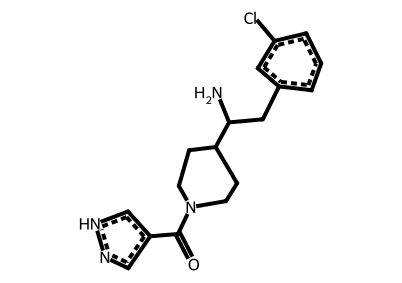 NC(Cc1cccc(Cl)c1)C1CCN(C(=O)c2cn[nH]c2)CC1